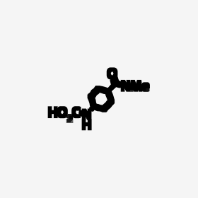 CNC(=O)[C@H]1CC[C@H](NC(=O)O)CC1